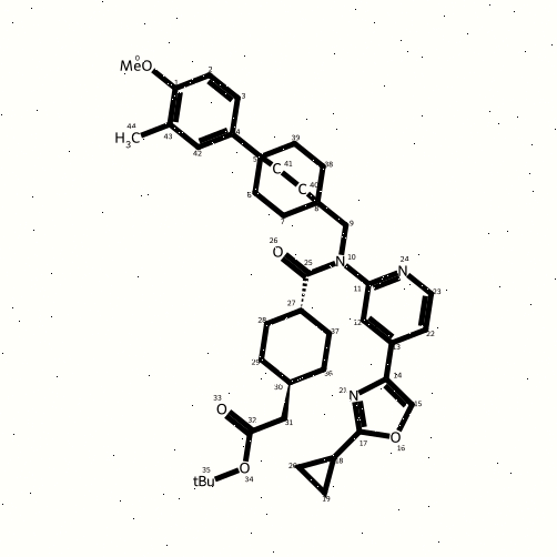 COc1ccc(C23CCC(CN(c4cc(-c5coc(C6CC6)n5)ccn4)C(=O)[C@H]4CC[C@H](CC(=O)OC(C)(C)C)CC4)(CC2)CC3)cc1C